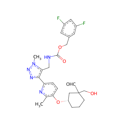 Cc1nc(-c2nnn(C)c2CNC(=O)OCc2cc(F)cc(F)c2)ccc1O[C@H]1CCCC(C=O)(CO)C1